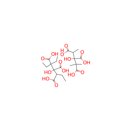 CC(C(=O)O)C(O)(C(=O)O)C(C)(C)C(=O)O.CCC(C(=O)O)C(O)(C(=O)O)C(CC)(CC)C(=O)O